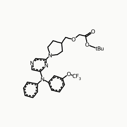 CC(C)(C)OC(=O)COCC1CCN(c2cncc(N(c3ccccc3)c3cccc(OC(F)(F)F)c3)n2)CC1